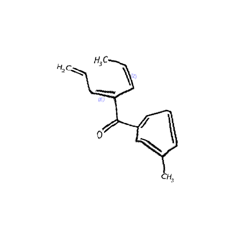 C=C/C=C(\C=C/C)C(=O)c1cccc(C)c1